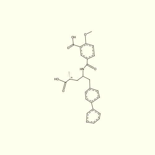 COc1ccc(C(=O)NC(Cc2ccc(-c3ccccc3)cc2)C[C@@H](C)C(=O)O)cc1C(=O)O